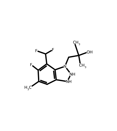 Cc1cc2c(c(C(F)F)c1F)N(CC(C)(C)O)NN2